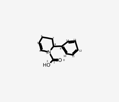 O=C(O)N1C=CCCC1c1ccccc1